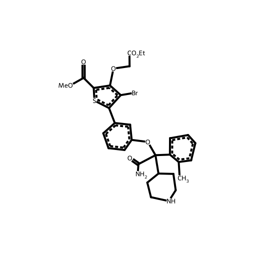 CCOC(=O)COc1c(C(=O)OC)sc(-c2cccc(OC(C(N)=O)(c3ccccc3C)C3CCNCC3)c2)c1Br